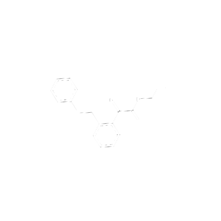 CCNC(=O)C(=N)c1ccccc1COc1ccccc1